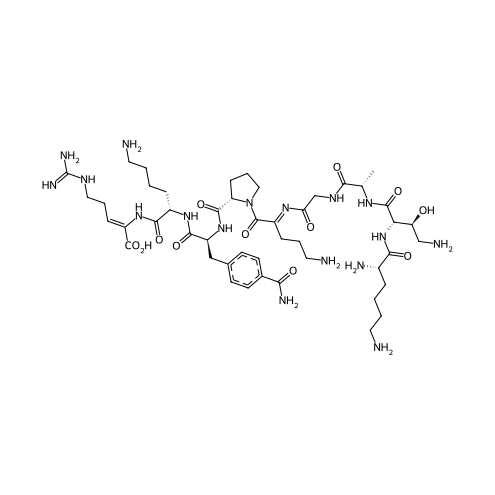 C[C@H](NC(=O)[C@@H](NC(=O)[C@@H](N)CCCCN)[C@@H](O)CN)C(=O)NCC(=O)/N=C(\CCCN)C(=O)N1CCC[C@H]1C(=O)N[C@@H](Cc1ccc(C(N)=O)cc1)C(=O)N[C@@H](CCCCN)C(=O)N/C(=C\CCNC(=N)N)C(=O)O